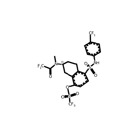 CN(C(=O)C(F)(F)F)[C@H]1CCc2c(S(=O)(=O)Nc3ccc(C(F)(F)F)cc3)ccc(OS(=O)(=O)C(F)(F)F)c2C1